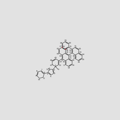 CC1(c2ccc(C3=CC=CCC3)s2)C=C(c2c3ccccc3c(-c3c(-c4ccccc4)ccc4ccccc34)c3ccccc23)C=CC1